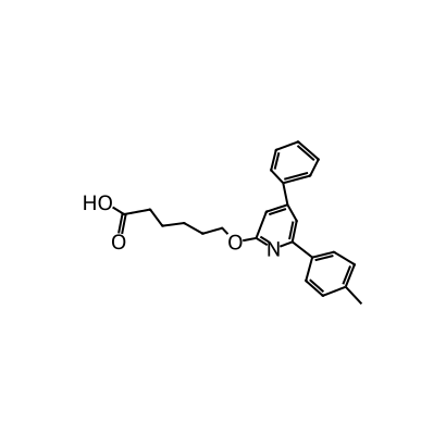 Cc1ccc(-c2cc(-c3ccccc3)cc(OCCCCCC(=O)O)n2)cc1